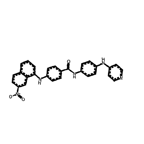 O=C(Nc1ccc(Nc2ccncc2)cc1)c1ccc(Nc2cccc3ccc([N+](=O)[O-])cc23)cc1